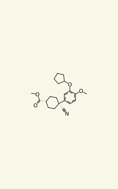 COc1ccc([C@]2(C#N)CC[C@@H](C(=O)OC)CC2)cc1OC1CCCC1